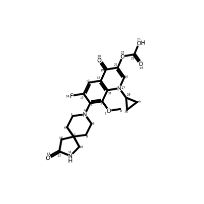 COc1c(N2CCC3(CC2)CNC(=O)C3)c(F)cc2c(=O)c(OC(=O)O)cn(C3CC3)c12